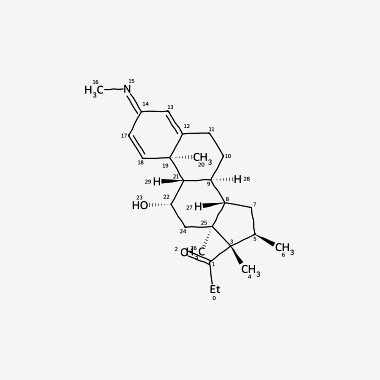 CCC(=O)[C@@]1(C)[C@H](C)C[C@H]2[C@@H]3CCC4=C/C(=N/C)C=C[C@]4(C)[C@H]3[C@@H](O)C[C@@]21C